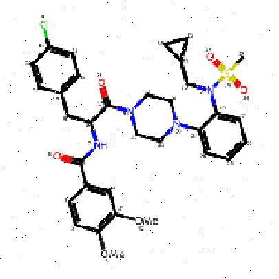 COc1ccc(C(=O)NC(Cc2ccc(Cl)cc2)C(=O)N2CCN(c3ccccc3N(CC3CC3)S(C)(=O)=O)CC2)cc1OC